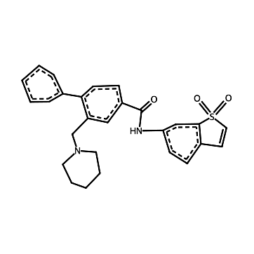 O=C(Nc1ccc2c(c1)S(=O)(=O)C=C2)c1ccc(-c2ccccc2)c(CN2CCCCC2)c1